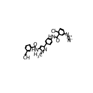 C#Cc1cccc(C(=O)Nc2cc(-c3ccc(NC(=O)c4cc(N=[N+]=[N-])ccc4Cl)cc3)nn2C)c1